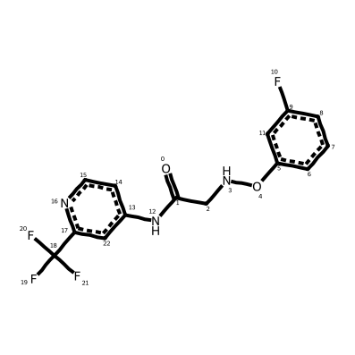 O=C(CNOc1cccc(F)c1)Nc1ccnc(C(F)(F)F)c1